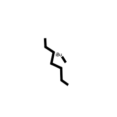 CCC(C)C.CCCCCCC